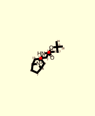 CCCCN1C2CCC1CC(NC(=O)OC(C)(C)C)C2